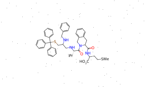 CSCCC(NC(=O)C1Cc2ccccc2CN1C(=O)[C@@H](NCC(CSC(c1ccccc1)(c1ccccc1)c1ccccc1)NCc1ccccc1)C(C)C)C(=O)O